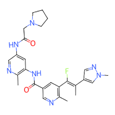 C/C(=C(/F)c1cc(C(=O)Nc2cc(NC(=O)CN3CCCC3)cnc2C)cnc1C)c1cnn(C)c1